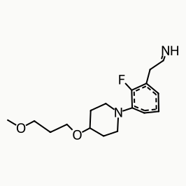 COCCCOC1CCN(c2cccc(CC=N)c2F)CC1